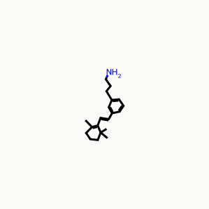 CC1=C(C=Cc2cccc(CCCN)c2)C(C)(C)CCC1